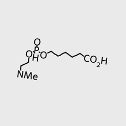 CNCCO[PH](=O)OCCCCCC(=O)O